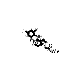 CNC(=O)Cn1ccc2c(Nc3c(C)cc(Cl)cc3C(F)(F)F)nccc21